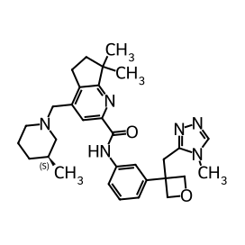 C[C@H]1CCCN(Cc2cc(C(=O)Nc3cccc(C4(Cc5nncn5C)COC4)c3)nc3c2CCC3(C)C)C1